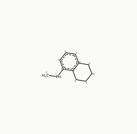 CPc1cccc2c1CCCC2